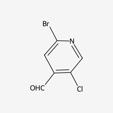 O=Cc1cc(Br)ncc1Cl